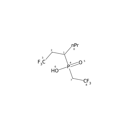 CCCC(CC(F)(F)F)P(=O)(O)CC(F)(F)F